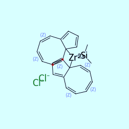 C[Si](C)=[Zr+2]([C]12C=CC=C1\C=C/C=C\C=C/2)[C]12C=CC=C1\C=C/C=C\C=C/2.[Cl-].[Cl-]